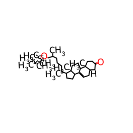 CC(CCC[C@@H](C)C1CCC2C3=CC[C@H]4CC(=O)CC[C@]4(C)C3CC[C@@]21C)CO[Si](C)(C)C(C)(C)C